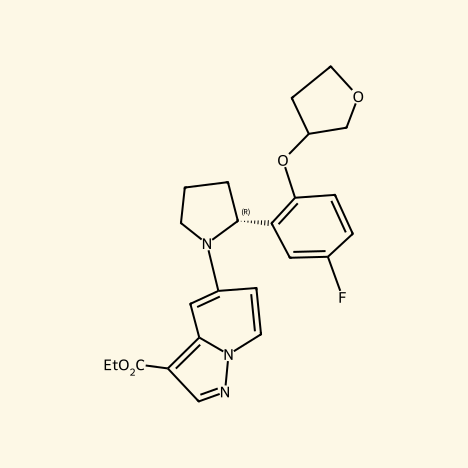 CCOC(=O)c1cnn2ccc(N3CCC[C@@H]3c3cc(F)ccc3OC3CCOC3)cc12